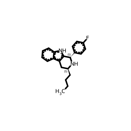 CCCC[C@H]1Cc2c([nH]c3ccccc23)[C@H](c2ccc(F)cc2)N1